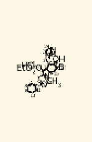 CCOC(=O)c1c(C[S+]([O-])c2ccccc2)n(C)c2cc(Br)c(O)c(Cn3ccnc3)c12.Cl